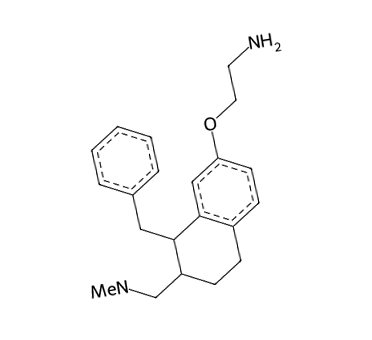 CNCC1CCc2ccc(OCCN)cc2C1Cc1ccccc1